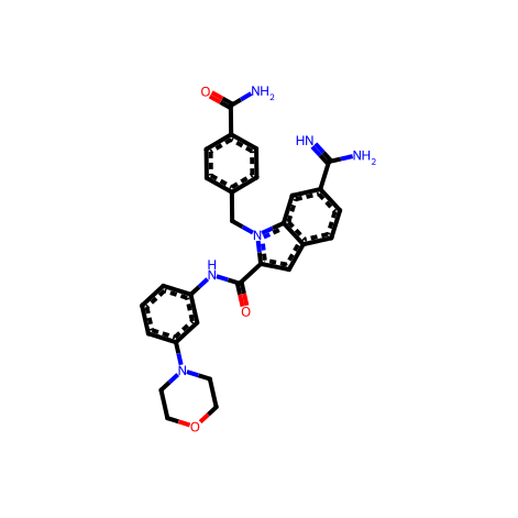 N=C(N)c1ccc2cc(C(=O)Nc3cccc(N4CCOCC4)c3)n(Cc3ccc(C(N)=O)cc3)c2c1